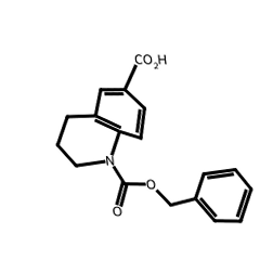 O=C(O)c1ccc2c(c1)CCCN2C(=O)OCc1ccccc1